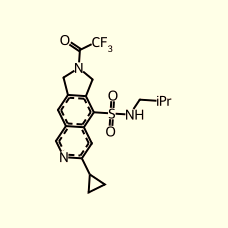 CC(C)CNS(=O)(=O)c1c2c(cc3cnc(C4CC4)cc13)CN(C(=O)C(F)(F)F)C2